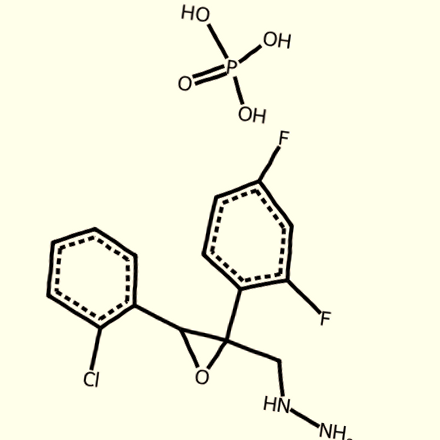 NNCC1(c2ccc(F)cc2F)OC1c1ccccc1Cl.O=P(O)(O)O